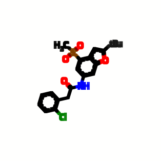 CC(C)(C)c1cc2c(S(C)(=O)=O)cc(NC(=O)Cc3ccccc3Cl)cc2o1